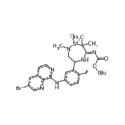 CN1CC(c2cc(Nc3nccc4cc(Br)cnc34)ccc2F)NC(=NC(=O)OC(C)(C)C)C(C)(C)[S+]1[O-]